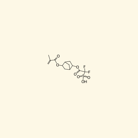 C=C(C)C(=O)OC1CC2CC1CC2OC(=O)C(F)(F)S(=O)(=O)O